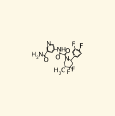 CC1CN(C(=O)C(=O)Nc2cncc(C(N)=O)c2)C(c2ccc(F)c(F)c2)CC1(F)F